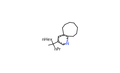 CCCCCCC(C)(CCC)c1cnc2c(c1)CCCCCCC2